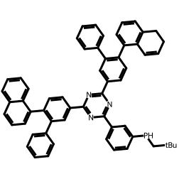 CC(C)(C)CPc1cccc(-c2nc(-c3ccc(-c4cccc5c4C=CCC5)c(-c4ccccc4)c3)nc(-c3ccc(-c4cccc5ccccc45)c(-c4ccccc4)c3)n2)c1